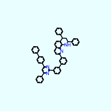 c1ccc(-c2ccc(-c3cc(-c4ccccc4)nc(-c4cccc(-c5cccc(-c6ccc7ccc8c(c7n6)NC(c6ccccc6)CC8c6ccccc6)c5)c4)n3)cc2)cc1